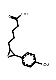 CCCCCCCCc1ccc(C2OC2CCCCC(=O)OC)cc1